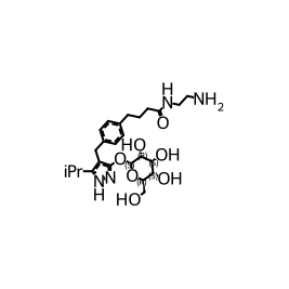 CC(C)c1[nH]nc(O[C@@H]2O[C@H](CO)[C@@H](O)[C@H](O)[C@H]2O)c1Cc1ccc(CCCC(=O)NCCN)cc1